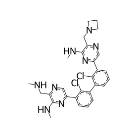 CNCc1ncc(-c2cccc(-c3cccc(-c4cnc(CN5CCC5)c(NC)n4)c3Cl)c2Cl)nc1NC